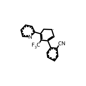 N#Cc1ccccc1C1=C[CH]CC(c2ccccn2)=C1C(F)(F)F